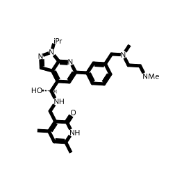 CNCCN(C)Cc1cccc(-c2cc([C@@H](O)NCc3c(C)cc(C)[nH]c3=O)c3cnn(C(C)C)c3n2)c1